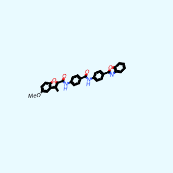 COc1ccc2oc(C(=O)Nc3ccc(C(=O)Nc4ccc(-c5nc6ccccc6o5)cc4)cc3)c(C)c2c1